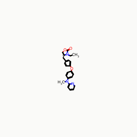 CCN1C(=O)OC[C@@H]1Cc1ccc(Oc2ccc(N(C)c3ccccn3)cc2)cc1